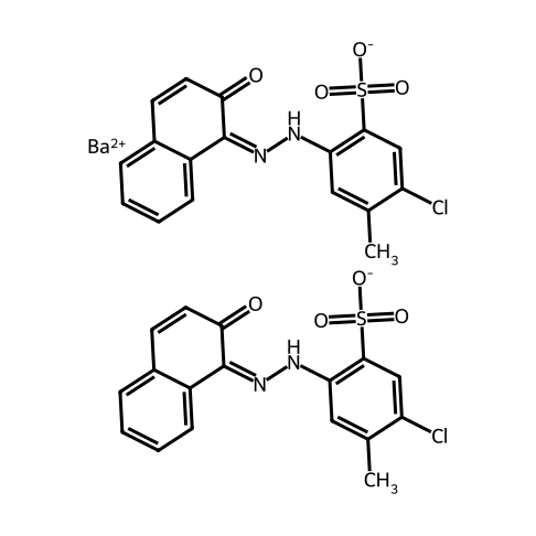 Cc1cc(N/N=C2\C(=O)C=Cc3ccccc32)c(S(=O)(=O)[O-])cc1Cl.Cc1cc(N/N=C2\C(=O)C=Cc3ccccc32)c(S(=O)(=O)[O-])cc1Cl.[Ba+2]